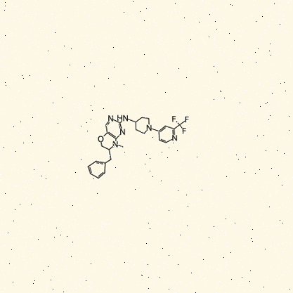 CN1c2nc(NC3CCN(c4ccnc(C(F)(F)F)c4)CC3)ncc2OCC1Cc1ccccc1